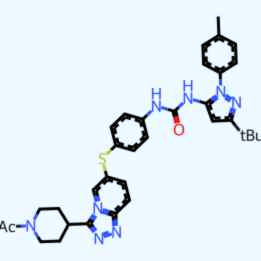 CC(=O)N1CCC(c2nnc3ccc(Sc4ccc(NC(=O)Nc5cc(C(C)(C)C)nn5-c5ccc(C)cc5)cc4)cn23)CC1